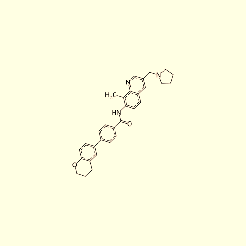 Cc1c(NC(=O)c2ccc(-c3ccc4c(c3)CCCO4)cc2)ccc2cc(CN3CCCC3)cnc12